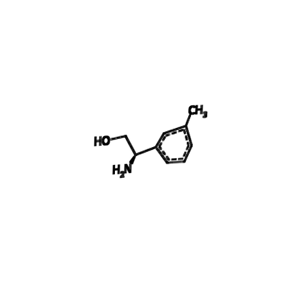 Cc1cccc([C@@H](N)CO)c1